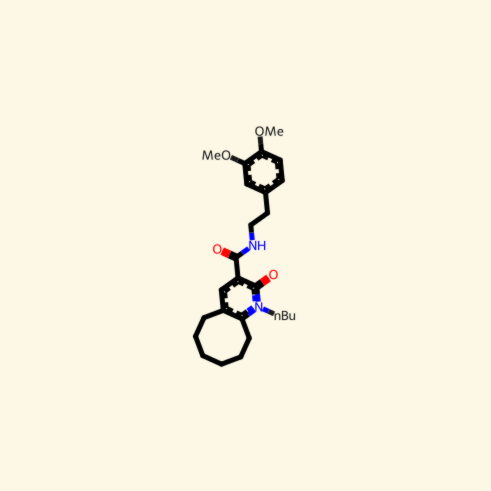 CCCCn1c2c(cc(C(=O)NCCc3ccc(OC)c(OC)c3)c1=O)CCCCCC2